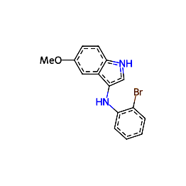 COc1ccc2[nH]cc(Nc3ccccc3Br)c2c1